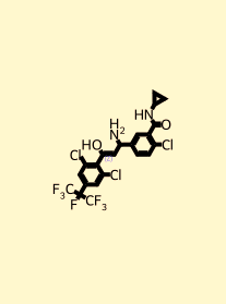 NC(/C=C(\O)c1c(Cl)cc(C(F)(C(F)(F)F)C(F)(F)F)cc1Cl)c1ccc(Cl)c(C(=O)NC2CC2)c1